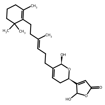 CC1=C(CC/C(C)=C/CCC2=CC[C@H](C3=CC(=O)OC3O)O[C@@H]2O)C(C)(C)CCC1